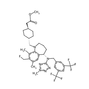 COC(=O)C[C@H]1CC[C@H](CN2CCC[C@H](N(Cc3cc(C(F)(F)F)cc(C(F)(F)F)c3)c3nnn(C)n3)c3cc(C)c(CF)c(C)c32)CC1